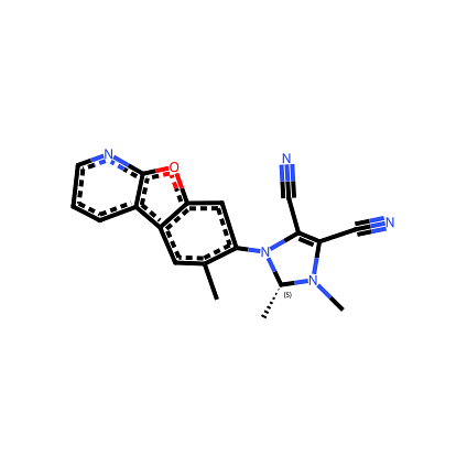 Cc1cc2c(cc1N1C(C#N)=C(C#N)N(C)[C@@H]1C)oc1ncccc12